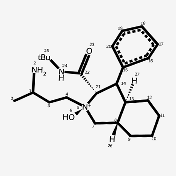 CC(N)CC[N@@+]1(O)C[C@H]2CCCC[C@@H]2C(c2ccccc2)[C@H]1C(=O)NC(C)(C)C